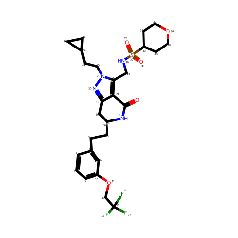 O=C1N[C@@H](CCc2cccc(OCC(F)(F)F)c2)Cc2nn(CCC3CC3)c(CNS(=O)(=O)C3CCOCC3)c21